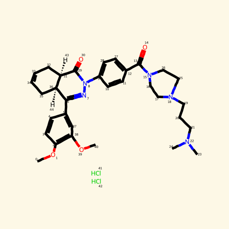 COc1ccc(C2=NN(c3ccc(C(=O)N4CCN(CCCN(C)C)CC4)cc3)C(=O)[C@@H]3CC=CC[C@H]23)cc1OC.Cl.Cl